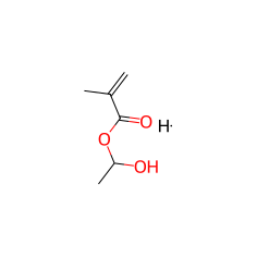 C=C(C)C(=O)OC(C)O.[H]